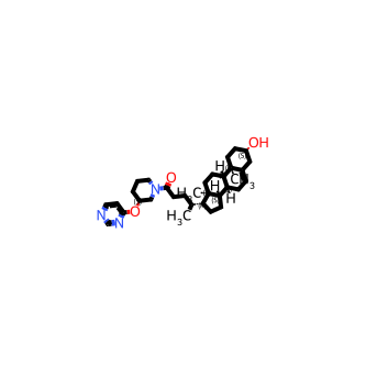 CC(CCC(=O)N1CCC[C@H](Oc2ccncn2)C1)[C@H]1CC[C@H]2[C@@H]3CC=C4C[C@@H](O)CC[C@]4(C)[C@H]3CC[C@]12C